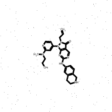 C=CCn1c(=O)c2cnc(Nc3ccc4c(c3)CCNC4)nc2n1-c1ccnc(N(C)CCO)c1